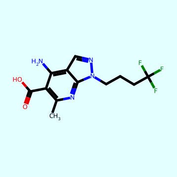 Cc1nc2c(cnn2CCCC(F)(F)F)c(N)c1C(=O)O